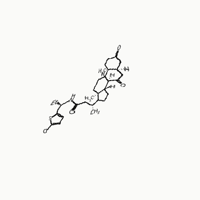 CC[C@@H](NC(=O)C[C@@H](C)C1CC[C@H]2[C@@H]3C(=O)C[C@@H]4CC(=O)CC[C@]4(C)[C@H]3CC[C@]12C)c1ccc(Cl)s1